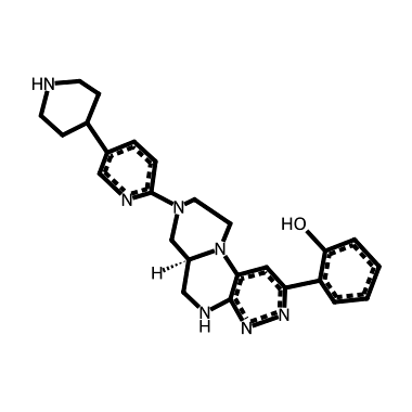 Oc1ccccc1-c1cc2c(nn1)NC[C@H]1CN(c3ccc(C4CCNCC4)cn3)CCN21